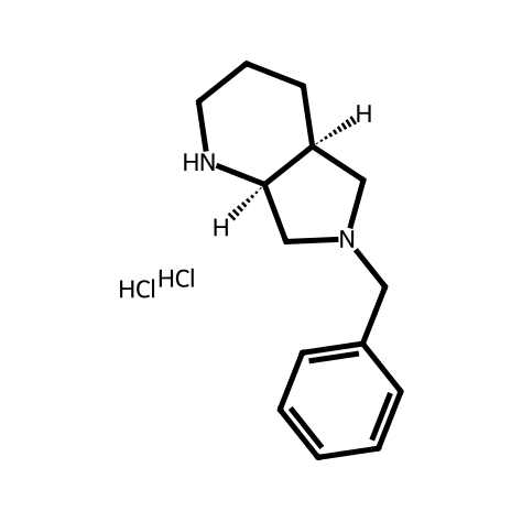 Cl.Cl.c1ccc(CN2C[C@@H]3CCCN[C@@H]3C2)cc1